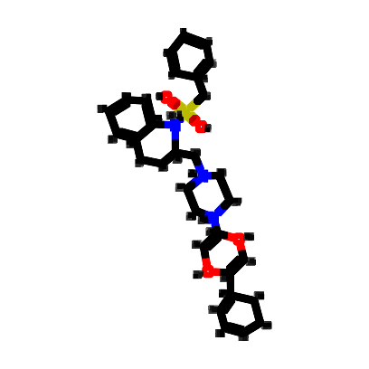 O=S(=O)(Cc1ccccc1)N1c2ccccc2CCC1CN1CCN(C2=COC(C3=CC=CCC3)=CO2)CC1